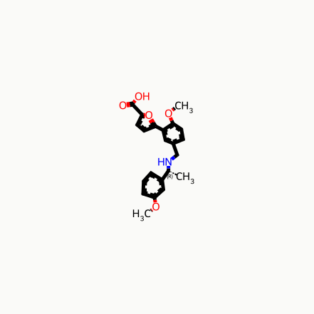 COc1cccc([C@@H](C)NCc2ccc(OC)c(-c3ccc(C(=O)O)o3)c2)c1